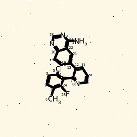 Cc1ccc(Cl)c(-c2ncccc2-c2ccc3ncnc(N)c3c2)c1F